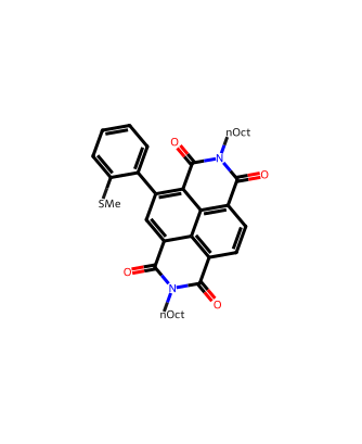 CCCCCCCCN1C(=O)c2ccc3c4c(c(-c5ccccc5SC)cc(c24)C1=O)C(=O)N(CCCCCCCC)C3=O